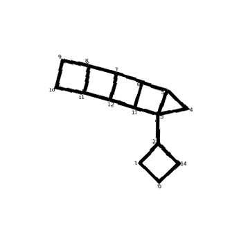 C1CC(C23CC2C2C4C5CCC5C4C23)C1